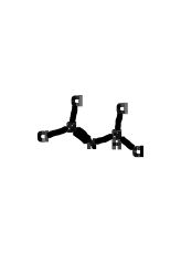 Cl[Si](Cl)=N[SiH](Cl)Cl